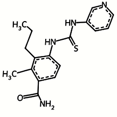 CCCc1c(NC(=S)Nc2cccnc2)ccc(C(N)=O)c1C